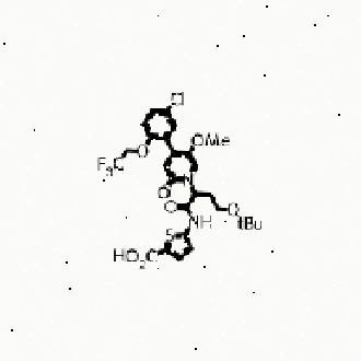 COc1cn(C(CCOC(C)(C)C)C(=O)Nc2ccc(C(=O)O)s2)c(=O)cc1-c1cc(Cl)ccc1OCC(F)(F)F